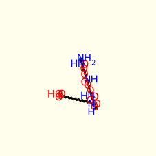 CC(C)(C)OC(=O)C(CCC(=O)NCCOCCOCC(=O)NCCOCCOCC(=O)NCCN)NC(=O)CCCCCCCCCCCCCCCS(=O)(=O)O